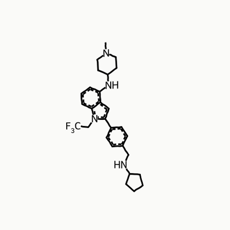 CN1CCC(Nc2cccc3c2cc(-c2ccc(CNC4CCCC4)cc2)n3CC(F)(F)F)CC1